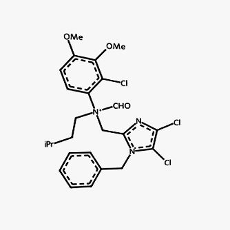 COc1ccc([N+](C=O)(CCC(C)C)Cc2nc(Cl)c(Cl)n2Cc2ccccc2)c(Cl)c1OC